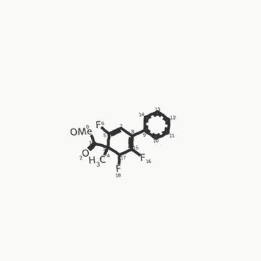 COC(=O)C1(C)C(F)=CC(c2ccccc2)=C(F)C1F